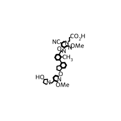 CO/N=c1/c2nc(-c3cccc(-c4cccc5c4CC[C@@H]5Oc4ccc(CN5CC[C@@H](O)C5)c(OC)n4)c3C)oc2c(C#N)cn1CCC(=O)O